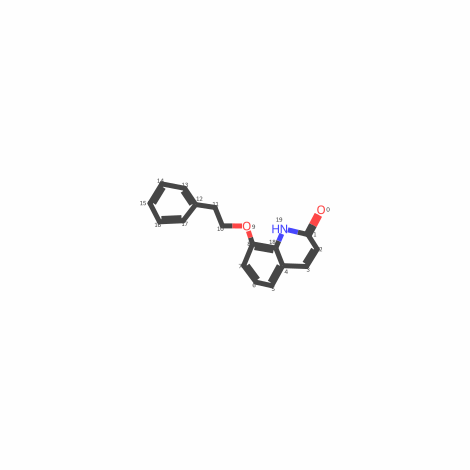 O=c1ccc2cc[c]c(OCCc3ccccc3)c2[nH]1